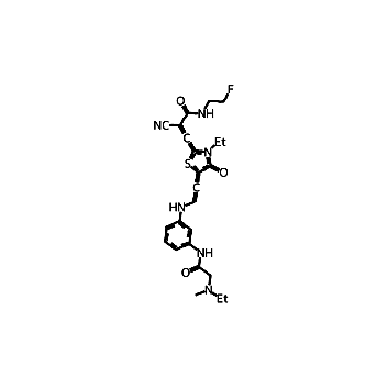 CCN(C)CC(=O)Nc1cccc(NC=C=c2sc(=C=C(C#N)C(=O)NCCF)n(CC)c2=O)c1